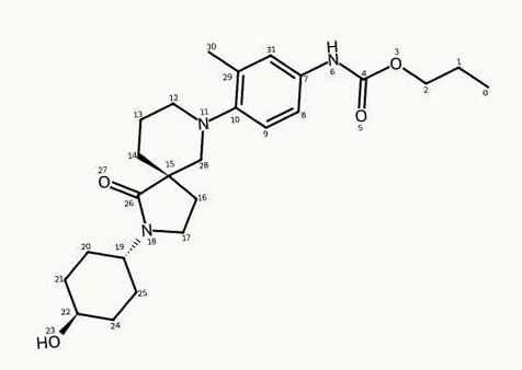 CCCOC(=O)Nc1ccc(N2CCC[C@]3(CCN([C@H]4CC[C@H](O)CC4)C3=O)C2)c(C)c1